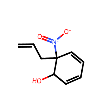 C=CCC1([N+](=O)[O-])C=CC=CC1O